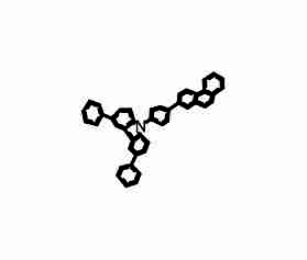 c1ccc(-c2ccc3c(c2)c2cc(-c4ccccc4)ccc2n3-c2ccc(-c3ccc4c(ccc5ccccc54)c3)cc2)cc1